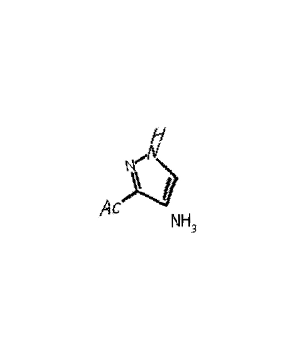 CC(=O)c1cc[nH]n1.N